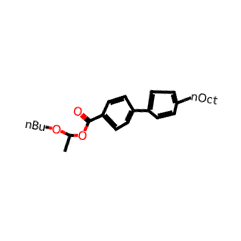 CCCCCCCCc1ccc(-c2ccc(C(=O)OC(C)OCCCC)cc2)cc1